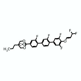 CCCC12COC(c3ccc(-c4ccc(-c5cc(F)c(O/C=C/C(F)F)c(F)c5)c(F)c4)c(F)c3)(OC1)OC2